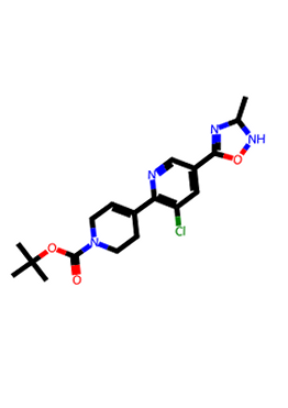 CC1N=C(c2cnc(C3=CCN(C(=O)OC(C)(C)C)CC3)c(Cl)c2)ON1